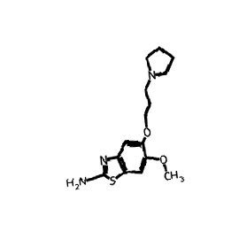 COc1cc2sc(N)nc2cc1OCCCN1CCCC1